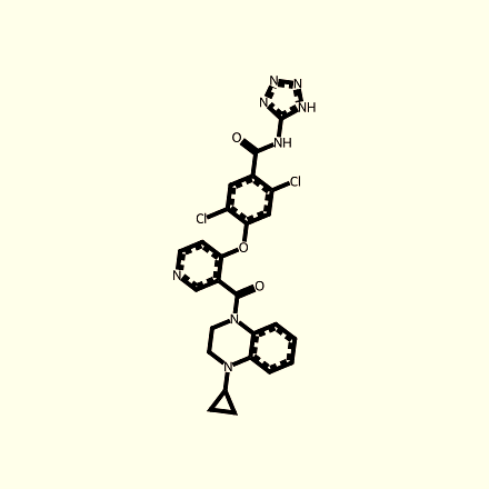 O=C(Nc1nnn[nH]1)c1cc(Cl)c(Oc2ccncc2C(=O)N2CCN(C3CC3)c3ccccc32)cc1Cl